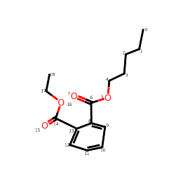 CCCCCOC(=O)c1ccccc1C(=O)OCC